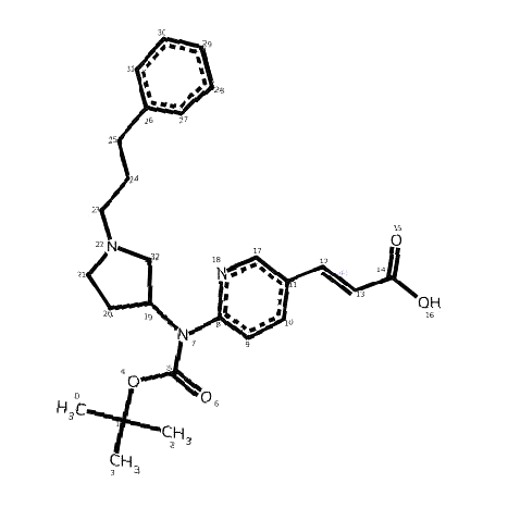 CC(C)(C)OC(=O)N(c1ccc(/C=C/C(=O)O)cn1)C1CCN(CCCc2ccccc2)C1